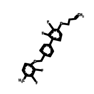 C=CCCOc1ccc(-c2ccc(COc3ccc(C)c(F)c3F)cc2)c(F)c1F